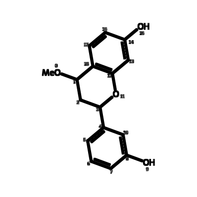 COC1CC(c2cccc(O)c2)Oc2cc(O)ccc21